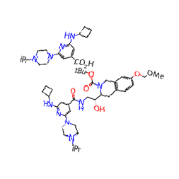 CC(C)N1CCN(c2cc(C(=O)O)cc(NC3CCC3)n2)CC1.COCOc1ccc2c(c1)CN(C(=O)OC(C)(C)C)C([C@H](O)CNC(=O)c1cc(NC3CCC3)nc(N3CCN(C(C)C)CC3)c1)C2